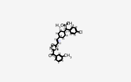 Cc1cccc(C(=O)c2noc(/C=C/C3CCC(C(c4ccc(Cl)cc4)N(C)C)CC3)n2)c1